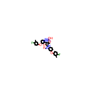 Cc1cc(Oc2ccc(N)c(C(NC(=O)O)(C(O)c3nc4ccc(Oc5ccc(F)c(C)c5)cc4n3C)C(C)(C)C)c2)ccc1F